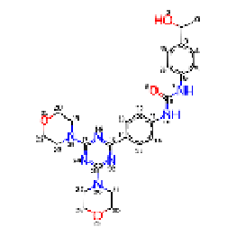 CC(O)c1ccc(NC(=O)Nc2ccc(-c3nc(N4CCOCC4)nc(N4CCOCC4)n3)cc2)cc1